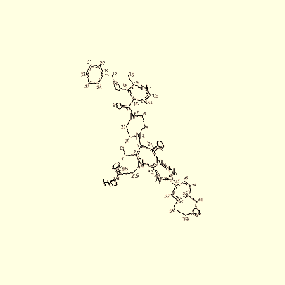 CCc1c(N2CCN(C(=O)c3ncnc(C)c3OCc3ccccc3)CC2)c(=O)n2nc(-c3ccc4c(c3)CCOC4)nc2n1CC(=O)O